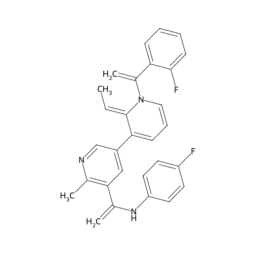 C=C(Nc1ccc(F)cc1)c1cc(C2=CC=CN(C(=C)c3ccccc3F)/C2=C\C)cnc1C